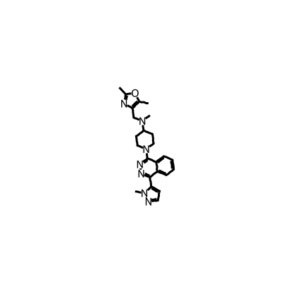 Cc1nc(CN(C)C2CCN(c3nnc(-c4ccnn4C)c4ccccc34)CC2)c(C)o1